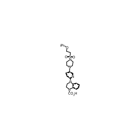 CC(C)OCCS(=O)(=O)N1CCN(c2ccc(N3CCN(C(=O)O)c4ccccc43)nc2)CC1